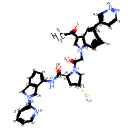 CC(=O)c1cn(CC(=O)N2C[C@H](F)C[C@H]2C(=O)Nc2cccc3c2CN(c2ccccn2)C3)c2ccc(-c3ccnnc3)cc12